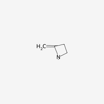 C=C1CC[N]1